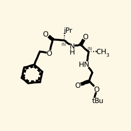 CC(C)[C@H](NC(=O)[C@H](C)NCC(=O)OC(C)(C)C)C(=O)OCc1ccccc1